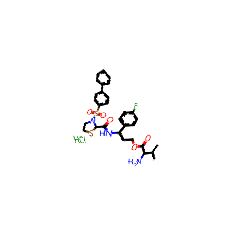 CC(C)C(N)C(=O)OCCC(NC(=O)C1SCCN1S(=O)(=O)c1ccc(-c2ccccc2)cc1)c1ccc(F)cc1.Cl